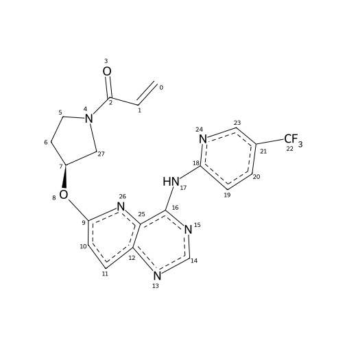 C=CC(=O)N1CC[C@H](Oc2ccc3ncnc(Nc4ccc(C(F)(F)F)cn4)c3n2)C1